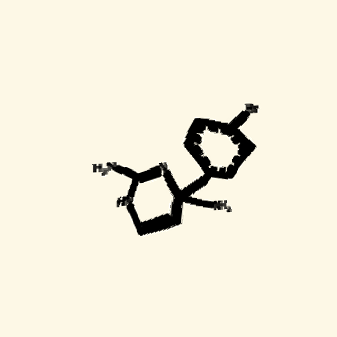 NC1=NC(N)(c2ccc(Br)cc2)C=CN1